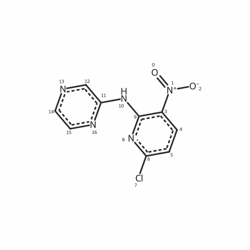 O=[N+]([O-])c1ccc(Cl)nc1Nc1cnccn1